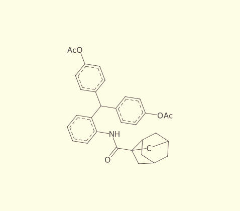 CC(=O)Oc1ccc(C(c2ccc(OC(C)=O)cc2)c2ccccc2NC(=O)C23CC4CC(CC2C4)C3)cc1